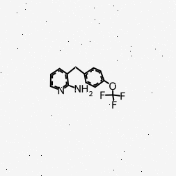 Nc1ncccc1Cc1ccc(OC(F)(F)F)cc1